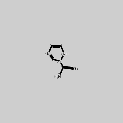 NC(=O)N1C=NC=CN1